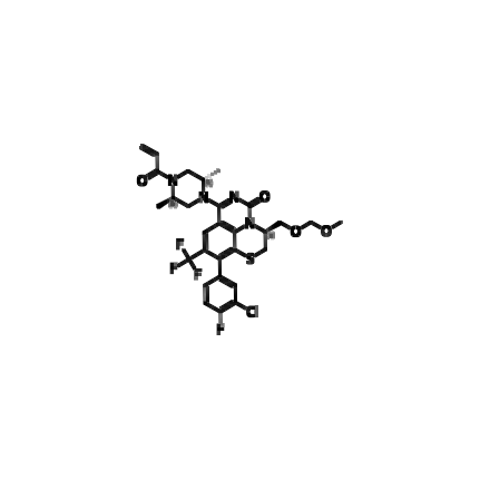 C=CC(=O)N1C[C@H](C)N(c2nc(=O)n3c4c(c(-c5ccc(F)c(Cl)c5)c(C(F)(F)F)cc24)SC[C@@H]3COCOC)C[C@H]1C